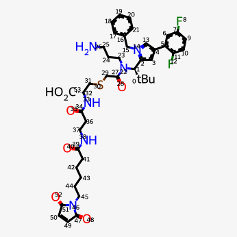 CC(C)(C)[C@H](c1cc(-c2cc(F)ccc2F)cn1Cc1ccccc1)N(CCCN)C(=O)CSC[C@H](NC(=O)CCNC(=O)CCCCCN1C(=O)C=CC1=O)C(=O)O